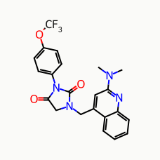 CN(C)c1cc(CN2CC(=O)N(c3ccc(OC(F)(F)F)cc3)C2=O)c2ccccc2n1